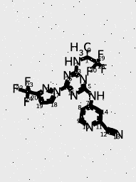 C[C@@H](Nc1nc(Nc2ccnc(C#N)c2)nc(-n2ccc(C(F)(F)F)n2)n1)C(F)(F)F